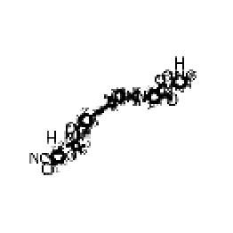 CC1(C)[C@H](Oc2ccc(C#N)c(Cl)c2)C(C)(N)[C@H]1N1Cc2cc(C#CC3CC4(CCN(C5CN(c6ccc7c(c6)C(=O)N(C6CCC(=O)NC6=O)C7=O)C5)C4)C3)ccc2C1=O